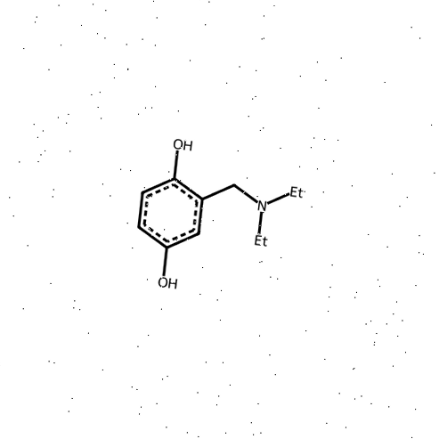 CCN(CC)Cc1cc(O)ccc1O